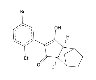 CCc1ccc(Br)cc1C1=C(O)[C@H]2C3CCC(C3)[C@H]2C1=O